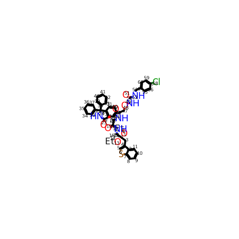 CCOC(Cc1csc2ccccc12)(OCC)[C@H](C)NC(=O)[C@H](CC(=O)NC(c1ccccc1)(c1ccccc1)c1ccccc1)NC(=O)CONC(=O)NCc1ccc(Cl)cc1